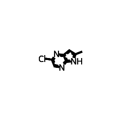 Cc1cc2nc(Cl)cnc2[nH]1